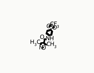 Cc1noc(C)c1C(=O)Nc1ccc(S(=O)(=O)C(F)(F)F)cc1